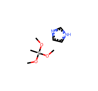 CO[Si](C)(OC)OC.c1c[nH]cn1